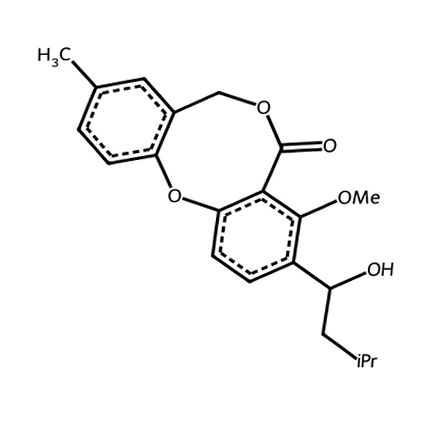 COc1c(C(O)CC(C)C)ccc2c1C(=O)OCc1cc(C)ccc1O2